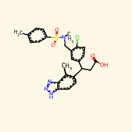 Cc1ccc(S(=O)(=O)N(C)Cc2cc(C(CC(=O)O)c3ccc4[nH]nnc4c3C)ccc2Cl)cc1